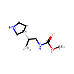 CC(CNC(=O)OC(C)(C)C)[C@H]1CCNC1